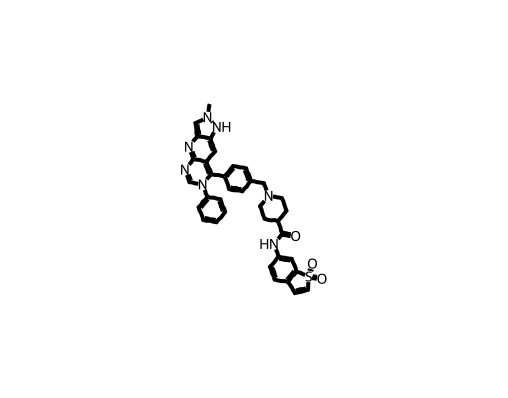 CN1C=c2nc3c(cc2N1)=C(c1ccc(CN2CCC(C(=O)Nc4ccc5c(c4)S(=O)(=O)C=C5)CC2)cc1)N(c1ccccc1)C=N3